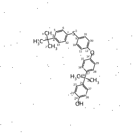 CC(C)(C)c1ccc(Sc2ccc(Oc3ccc(C(C)(C)c4ccc(O)cc4)cc3)cc2)cc1